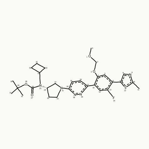 COCOc1cc(-c2cnc(C)s2)c(F)cc1-c1ccc(N2CC[C@H](N(C(=O)OC(C)(C)C)C3CCC3)C2)nn1